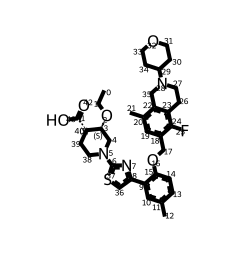 CCO[C@@H]1CN(c2nc(-c3cc(C)ccc3OCc3cc(C)c4c(c3F)CCN(C3CCOCC3)C4)cs2)CC[C@@H]1C(=O)O